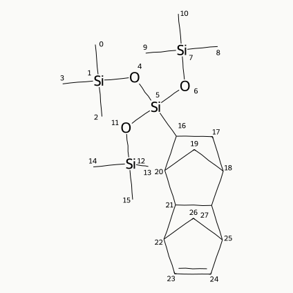 C[Si](C)(C)O[Si](O[Si](C)(C)C)(O[Si](C)(C)C)C1CC2CC1C1C3C=CC(C3)C21